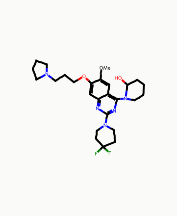 COc1cc2c(N3CCCCC3O)nc(N3CCC(F)(F)CC3)nc2cc1OCCCN1CCCC1